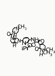 CC(C)Oc1nc(N2C[C@H]3CCN(C(=O)N4CCN(C)CC4)[C@H]3C2)ccc1NC(=O)c1coc2c1C(=O)NC(C)(C)C2